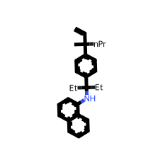 C=CC(C)(CCC)c1ccc(C(CC)(CC)Nc2cccc3ccccc23)cc1